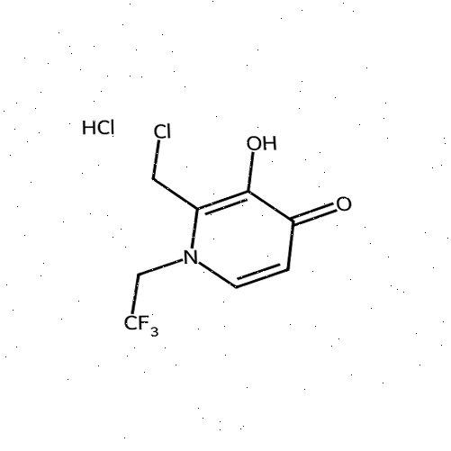 Cl.O=c1ccn(CC(F)(F)F)c(CCl)c1O